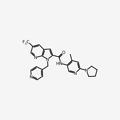 Cc1cc(N2CCCC2)ncc1NC(=O)c1cc2cc(C(F)(F)F)cnc2n1Cc1ccncc1